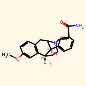 COc1ccc2c(c1)[C@@]1(C)CCN(C)C(C2)[C@]1(O)c1cccc(C(N)=O)c1